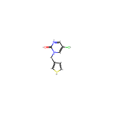 O=c1ncc(Cl)cn1Cc1ccsc1